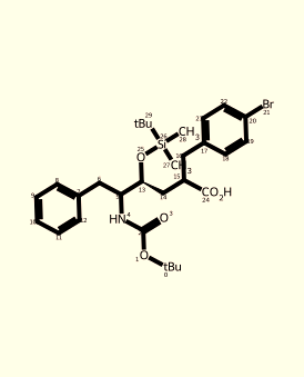 CC(C)(C)OC(=O)NC(Cc1ccccc1)[C@H](CC(Cc1ccc(Br)cc1)C(=O)O)O[Si](C)(C)C(C)(C)C